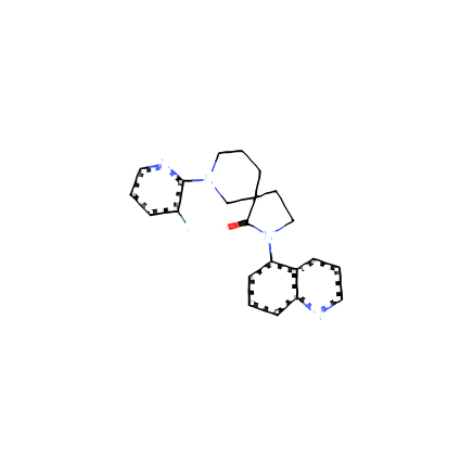 O=C1N(c2cccc3ncccc23)CCC12CCCN(c1ncccc1Cl)C2